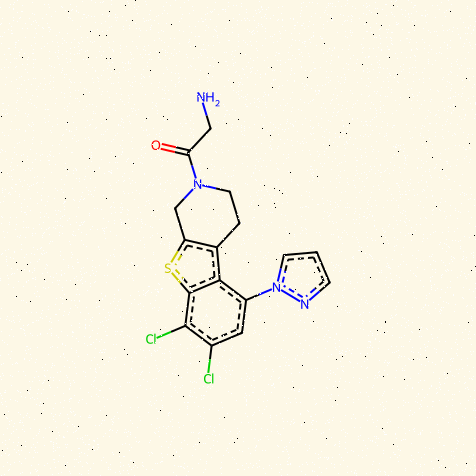 NCC(=O)N1CCc2c(sc3c(Cl)c(Cl)cc(-n4cccn4)c23)C1